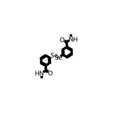 CNC(=O)c1cccc([Se][Se]c2cccc(C(=O)NC)c2)c1